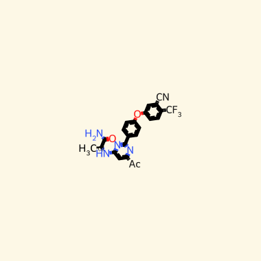 CC(=O)c1cc(N[C@@H](C)C(N)=O)nc(-c2ccc(Oc3ccc(C(F)(F)F)c(C#N)c3)cc2)n1